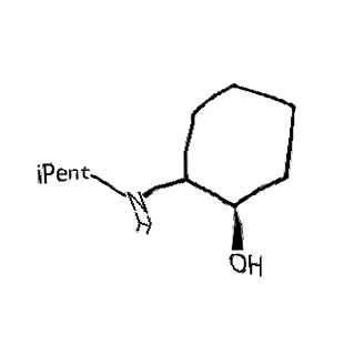 CCCC(C)NC1CCCC[C@H]1O